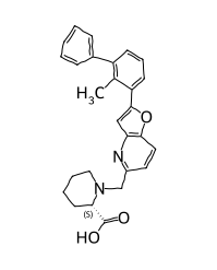 Cc1c(-c2ccccc2)cccc1-c1cc2nc(CN3CCCC[C@H]3C(=O)O)ccc2o1